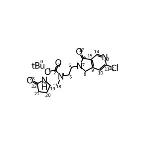 CC(C)(C)OC(=O)N(CCN1Cc2cc(Cl)ncc2C1=O)C[C@@H]1CCC(=O)N1